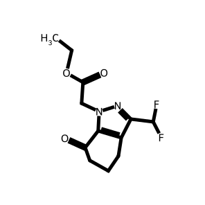 CCOC(=O)Cn1nc(C(F)F)c2c1C(=O)CCC2